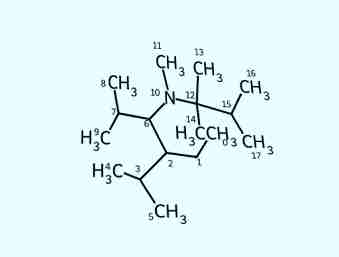 CCC(C(C)C)C(C(C)C)N(C)C(C)(C)C(C)C